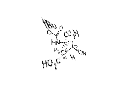 CC(C)(C)OC(=O)N[C@@]1(C(=O)O)C[C@@H](C#N)[C@H]2[C@H](C(=O)O)[C@H]21